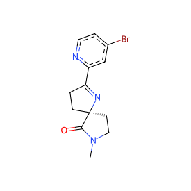 CN1CC[C@@]2(CCC(c3cc(Br)ccn3)=N2)C1=O